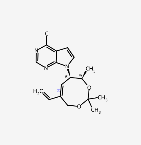 C=C/C1=C/[C@@H](n2ccc3c(Cl)ncnc32)[C@@H](C)OC(C)(C)OC1